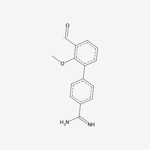 COc1c([C]=O)cccc1-c1ccc(C(=N)N)cc1